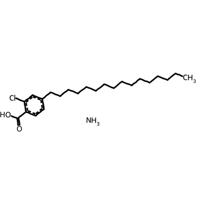 CCCCCCCCCCCCCCCCc1ccc(C(=O)O)c(Cl)c1.N